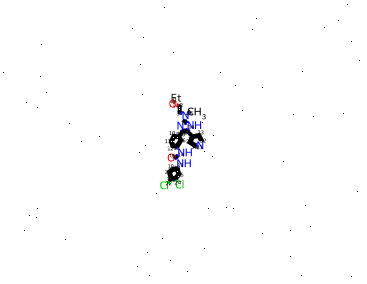 CCOCCN(C)c1nc(-c2cccc(NC(=O)Nc3ccc(Cl)c(Cl)c3)c2)c(-c2ccncc2)[nH]1